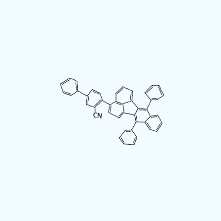 N#Cc1cc(-c2ccccc2)ccc1-c1ccc2c3c(cccc13)-c1c-2c(-c2ccccc2)c2ccccc2c1-c1ccccc1